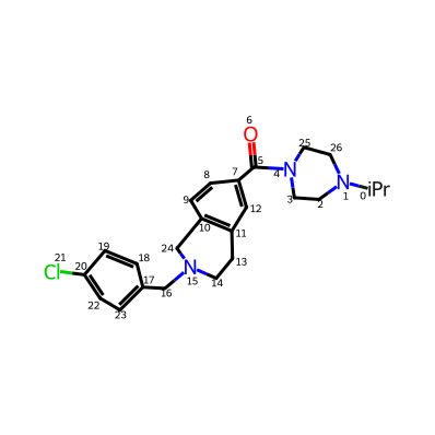 CC(C)N1CCN(C(=O)c2ccc3c(c2)CCN(Cc2ccc(Cl)cc2)C3)CC1